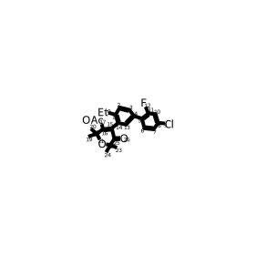 CCc1ccc(-c2ccc(Cl)cc2F)cc1C1=C(OC(C)=O)C(C)(C)OC(C)(C)C1=O